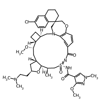 COc1nn(C)cc1C(=O)N[S@@]1(=O)=NC(=O)c2ccc3c(c2)N(C[C@@H]2CC[C@H]2[C@@H](OC)C[C@H]2C[C@H](CCN(C)C)O[C@@H]2[C@H](C)C1)C[C@@]1(CCCc2cc(Cl)ccc21)CO3